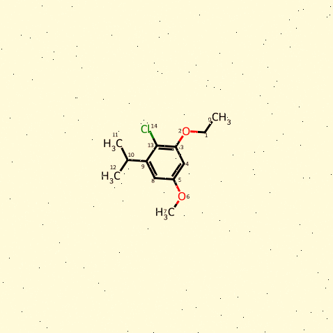 CCOc1cc(OC)cc(C(C)C)c1Cl